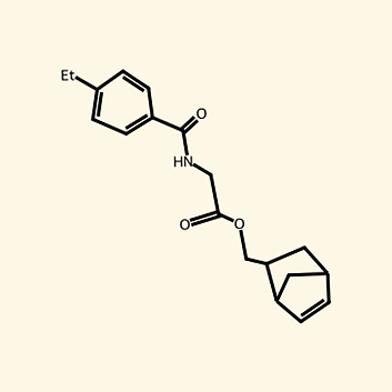 CCc1ccc(C(=O)NCC(=O)OCC2CC3C=CC2C3)cc1